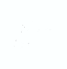 CCOC(=O)c1nnc(-c2ncccc2F)s1